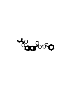 CCC(C)C(=O)OC1CC2CC1C1C3CC(CC3C(=O)OCOOC3CCCCC3)C21